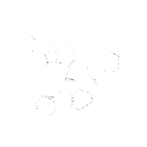 O=CNC1C(=O)N2C(C(=O)OC(c3ccccc3)c3ccccc3)=C(COC(=O)N3CCCCC3)CS[C@H]12